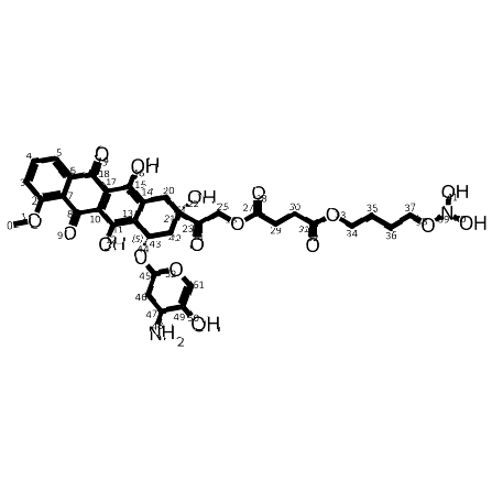 COc1cccc2c1C(=O)c1c(O)c3c(c(O)c1C2=O)C[C@@](O)(C(=O)COC(=O)CCC(=O)OCCCCON(O)O)C[C@@H]3OC1CC(N)C(O)=CO1